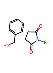 O=C1CCC(=O)N1Br.[O]Cc1ccccc1